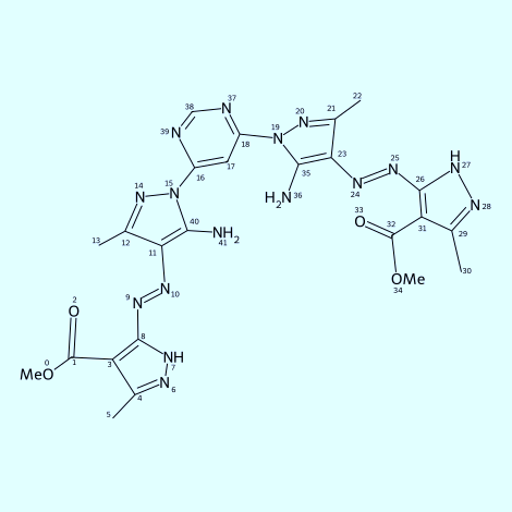 COC(=O)c1c(C)n[nH]c1/N=N/c1c(C)nn(-c2cc(-n3nc(C)c(/N=N/c4[nH]nc(C)c4C(=O)OC)c3N)ncn2)c1N